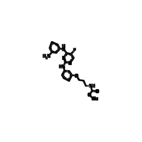 CC(C)(C)OC(=O)NCCCOc1cccc(Nc2ncc(F)c(Nc3cccc(N)c3)n2)c1